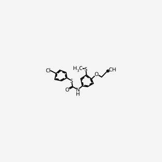 C#CCOc1ccc(NC(=O)Sc2ccc(Cl)cc2)cc1SC